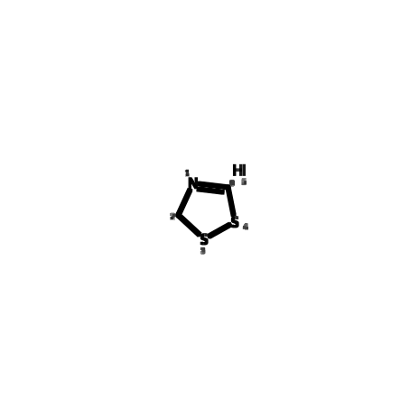 C1=NCSS1.I